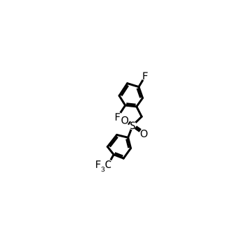 O=S(=O)(Cc1cc(F)ccc1F)c1ccc(C(F)(F)F)cc1